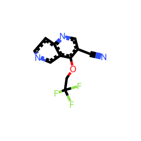 N#Cc1cnc2ccncc2c1OCC(F)(F)F